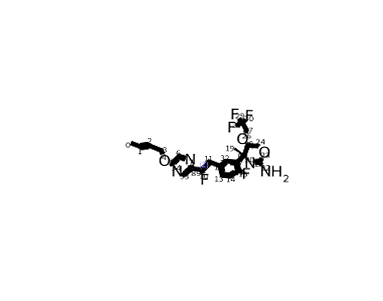 CC#CCOc1cnc(/C(F)=C/c2ccc(F)c([C@@]3(C)N=C(N)OC[C@@H]3OCC(F)(F)F)c2)cn1